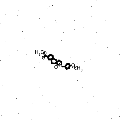 COC(=O)c1ccc2c(c1)CCC1(CCN(Cc3ccc(OC)cc3)C1=O)C2